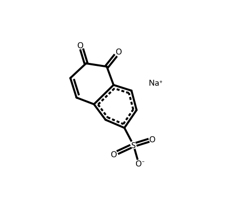 O=C1C=Cc2cc(S(=O)(=O)[O-])ccc2C1=O.[Na+]